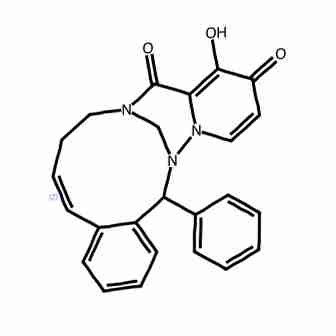 O=C1c2c(O)c(=O)ccn2N2CN1CC/C=C\c1ccccc1C2c1ccccc1